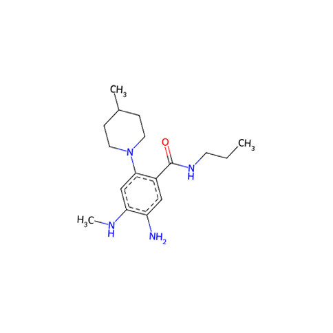 CCCNC(=O)c1cc(N)c(NC)cc1N1CCC(C)CC1